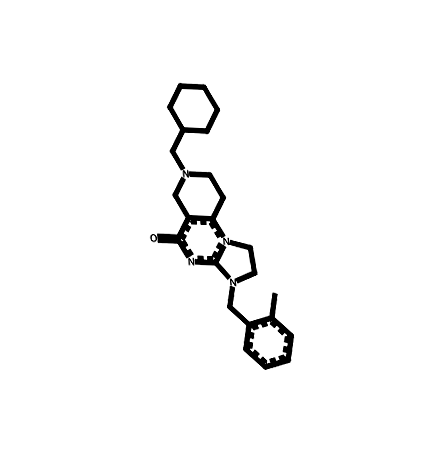 Cc1ccccc1CN1CCn2c1nc(=O)c1c2CCN(CC2CCCCC2)C1